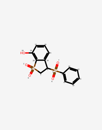 O=S1(=O)CC(S(=O)(=O)c2ccccc2)c2cccc(O)c21